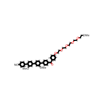 COCCOCCOCCOCCOCCOc1ccc(C(=O)c2ccc(-c3ccc(-c4ccc(-c5ccc(C#N)cc5)c(OC)c4)cc3OC)cc2)cc1